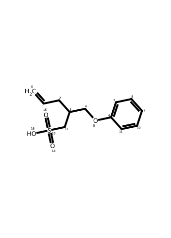 C=CCC(COc1ccccc1)CS(=O)(=O)O